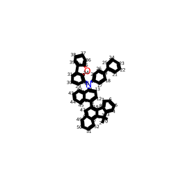 CC1(C)c2ccccc2-c2c(-c3ccc(N(c4ccc(-c5ccccc5)cc4)c4cccc5c4oc4ccccc45)c4ccccc34)cc3ccccc3c21